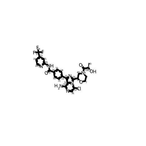 C[C@@H](O)C(=O)N1CCOC(c2nc(-c3ccc(C(=O)Nc4cc(C(F)(F)F)ccn4)cc3)c3c(N)ncc(Cl)n23)C1